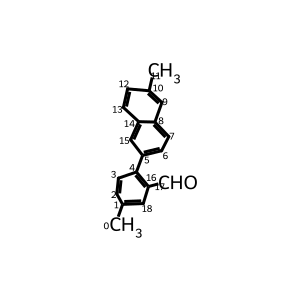 Cc1ccc(-c2ccc3cc(C)ccc3c2)c(C=O)c1